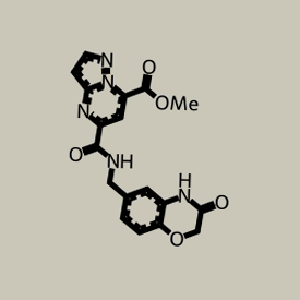 COC(=O)c1cc(C(=O)NCc2ccc3c(c2)NC(=O)CO3)nc2ccnn12